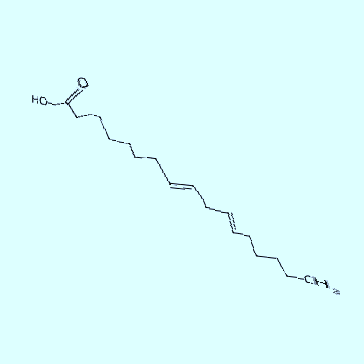 CCCCC/C=C/C/C=C/CCCCCCC(=O)O